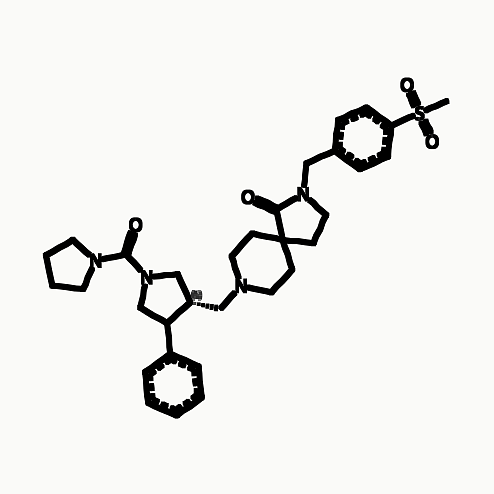 CS(=O)(=O)c1ccc(CN2CCC3(CCN(C[C@H]4CN(C(=O)N5CCCC5)CC4c4ccccc4)CC3)C2=O)cc1